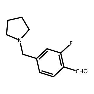 O=Cc1ccc(CN2CCCC2)cc1F